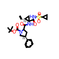 C=C[C@@H]1C[C@]1(NC(=O)C1C[C@@H](c2ccccc2)CN1C(=O)OC(C)(C)C)C(=O)NS(=O)(=O)C1CC1